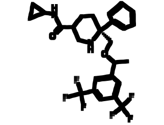 CC(OC[C@@]1(c2ccccc2)CCC(C(=O)NC2CC2)CN1)c1cc(C(F)(F)F)cc(C(F)(F)F)c1